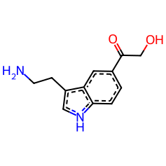 NCCc1c[nH]c2ccc(C(=O)CO)cc12